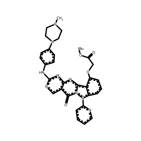 CN1CCN(c2ccc(Nc3ncc4c(=O)n5c(nc4n3)c3c(OCC(=O)OC(C)(C)C)cccc3n5-c3ccccn3)cc2)CC1